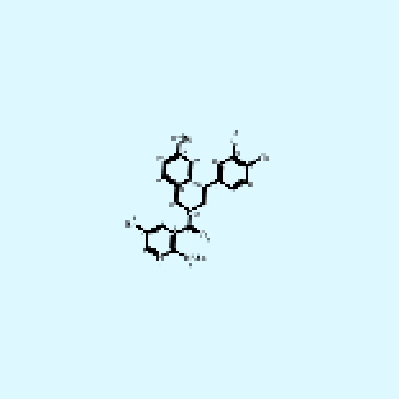 CNc1ncc(Br)cc1C(=O)N(CCc1ccc(Cl)c(Cl)c1)Cc1ccc(C(C)(C)C)cc1